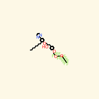 CCCCCCCCc1cc(-c2ncccn2)ccc1OCC(O)Cc1ccc(OCC(F)(F)OC(F)(F)C(F)(F)OC(F)(F)C(F)(F)C(F)(F)C(F)(F)F)cc1